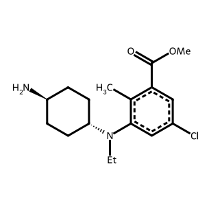 CCN(c1cc(Cl)cc(C(=O)OC)c1C)[C@H]1CC[C@H](N)CC1